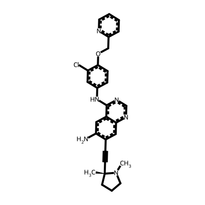 CN1CCC[C@]1(C)C#Cc1cc2ncnc(Nc3ccc(OCc4ccccn4)c(Cl)c3)c2cc1N